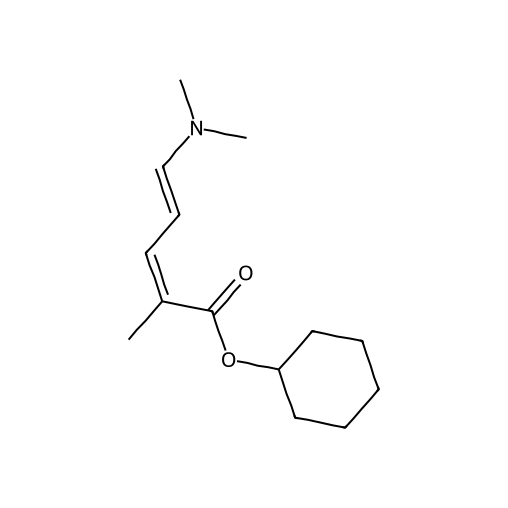 C/C(=C/C=C/N(C)C)C(=O)OC1CCCCC1